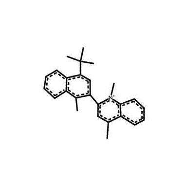 Cc1c(-c2cc(C)c3ccccc3[n+]2C)cc(C(C)(C)C)c2ccccc12